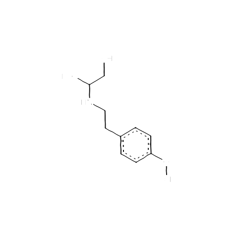 CCC(C)NCCc1ccc(OC)cc1